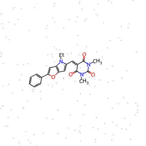 CCn1c(C=C2C(=O)N(C)C(=O)N(C)C2=O)cc2oc(-c3ccccc3)cc21